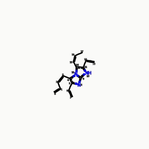 C=C/C=C\c1c(C=C)nc2[nH]c(C=C)c(/C=C\C)n12